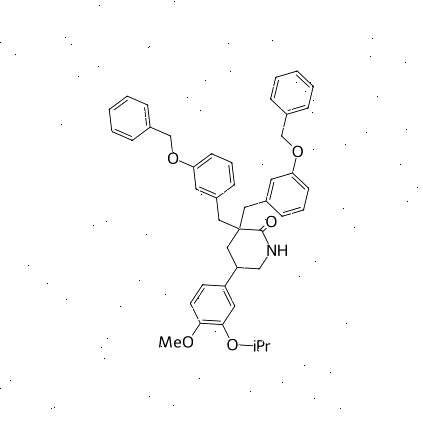 COc1ccc(C2CNC(=O)C(Cc3cccc(OCc4ccccc4)c3)(Cc3cccc(OCc4ccccc4)c3)C2)cc1OC(C)C